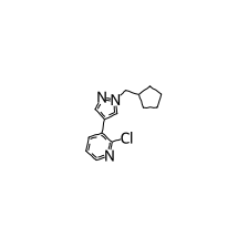 Clc1ncccc1-c1cnn(CC2CCCC2)c1